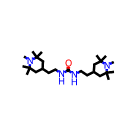 CN1C(C)(C)CC(CCNC(=O)NCCC2CC(C)(C)N(C)C(C)(C)C2)CC1(C)C